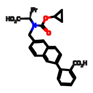 CC(C)[C@@H](C(=O)O)N(Cc1ccc2cc(-c3ccccc3C(=O)O)ccc2c1)C(=O)OC1CC1